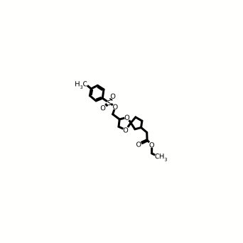 CCOC(=O)CC1CCC2(C1)OCC(COS(=O)(=O)c1ccc(C)cc1)O2